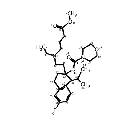 CCN(CCCC(=O)OC)CCC1(OC(=O)N2CCOCC2)CCc2cc(F)ccc2C1C(C)C